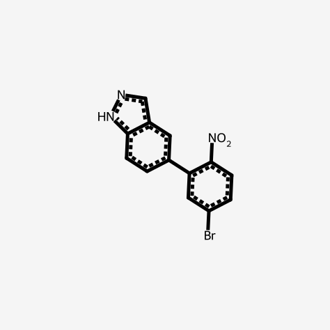 O=[N+]([O-])c1ccc(Br)cc1-c1ccc2[nH]ncc2c1